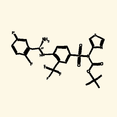 CC(C)(C)OC(=O)N(c1cscn1)S(=O)(=O)c1ccc(N[C@@H](N)c2cc(F)ccc2F)c(C(F)(F)F)c1